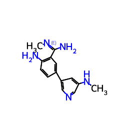 C/N=C(/N)c1cc(-c2cncc(NC)c2)ccc1N